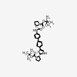 CC(C)(C)OC(=O)N1CCC[C@H]1C(=O)Nc1ccc(-c2ccc(-c3c[nH]c([C@@H]4CCCN4C(=O)OC(C)(C)C)n3)cc2)cc1